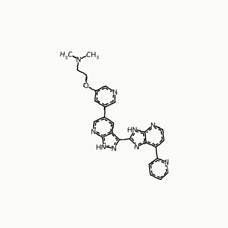 CN(C)CCOc1cncc(-c2cnc3[nH]nc(-c4nc5c(-c6ccccn6)ccnc5[nH]4)c3c2)c1